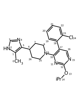 Cc1[nH]cnc1C1CCN(c2nc(OC(C)C)ncc2-c2ccccc2Cl)CC1